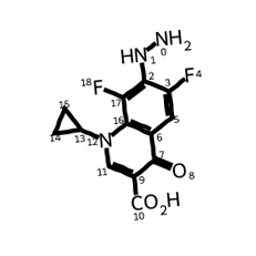 NNc1c(F)cc2c(=O)c(C(=O)O)cn(C3CC3)c2c1F